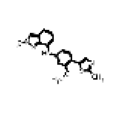 COc1cc(Nc2cccc3cn(C)nc23)ccc1-c1cnc(C)s1